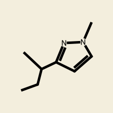 CCC(C)c1ccn(C)n1